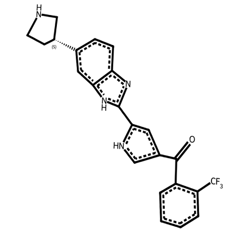 O=C(c1c[nH]c(-c2nc3ccc([C@@H]4CCNC4)cc3[nH]2)c1)c1ccccc1C(F)(F)F